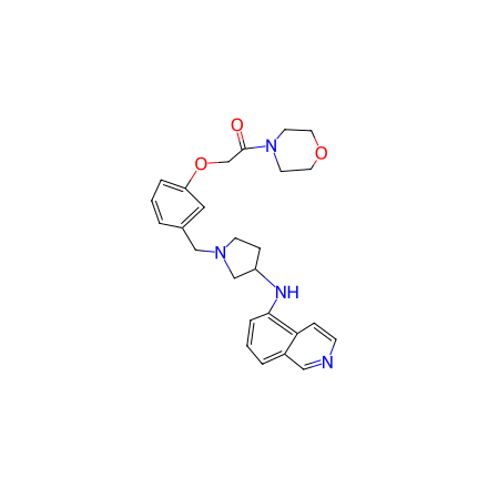 O=C(COc1cccc(CN2CCC(Nc3cccc4cnccc34)C2)c1)N1CCOCC1